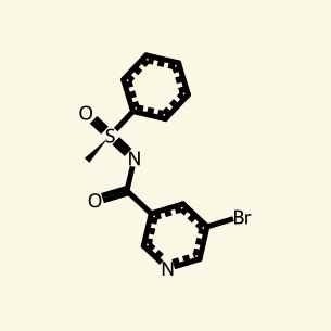 C[S@](=O)(=NC(=O)c1cncc(Br)c1)c1ccccc1